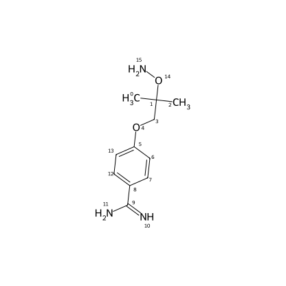 CC(C)(COc1ccc(C(=N)N)cc1)ON